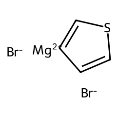 [Br-].[Br-].[Mg+2].c1ccsc1